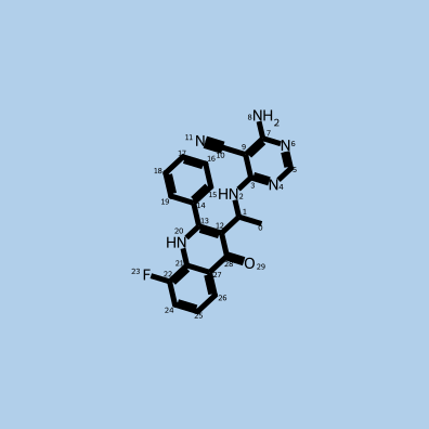 CC(Nc1ncnc(N)c1C#N)c1c(-c2ccccc2)[nH]c2c(F)cccc2c1=O